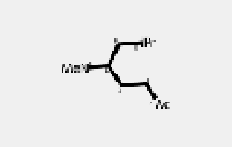 CNC(CCC(C)=O)CC(C)C